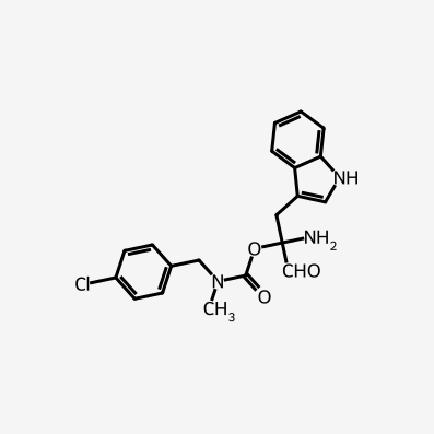 CN(Cc1ccc(Cl)cc1)C(=O)OC(N)(C=O)Cc1c[nH]c2ccccc12